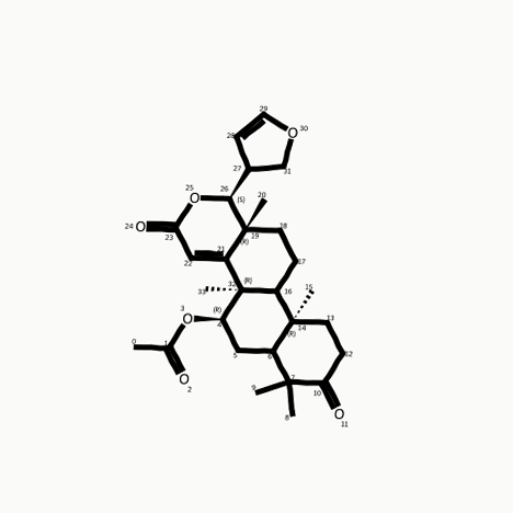 CC(=O)O[C@@H]1CC2C(C)(C)C(=O)CC[C@]2(C)C2CC[C@]3(C)C(=CC(=O)O[C@H]3C3C=COC3)[C@@]21C